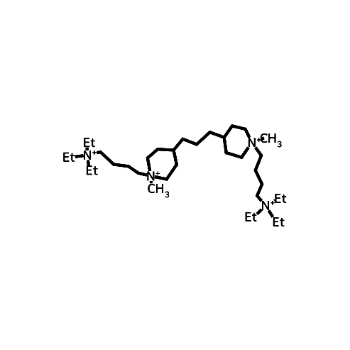 CC[N+](CC)(CC)CCCC[N+]1(C)CCC(CCCC2CC[N+](C)(CCCC[N+](CC)(CC)CC)CC2)CC1